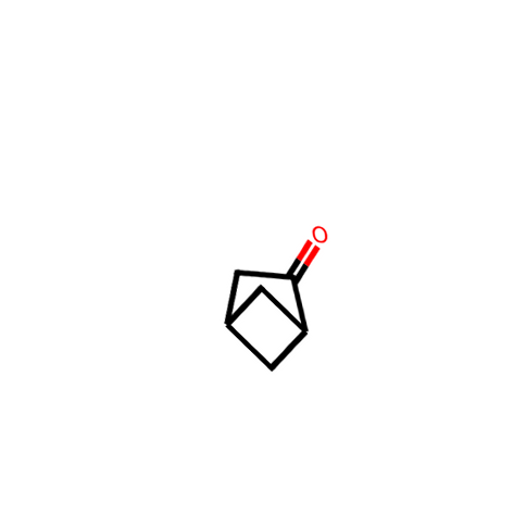 O=C1CC2CC1C2